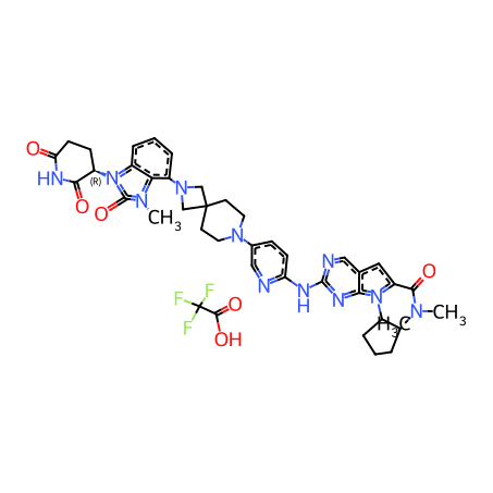 CN(C)C(=O)c1cc2cnc(Nc3ccc(N4CCC5(CC4)CN(c4cccc6c4n(C)c(=O)n6[C@@H]4CCC(=O)NC4=O)C5)cn3)nc2n1C1CCCC1.O=C(O)C(F)(F)F